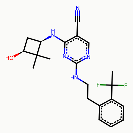 CC(F)(F)c1ccccc1CCNc1ncc(C#N)c(N[C@@H]2C[C@H](O)C2(C)C)n1